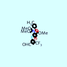 COCC(COC)N(c1cc(F)c(Oc2ccc(C=O)cc2C(F)(F)F)cc1C(=O)OC)C(=O)[C@H]1CC[C@H](C)CC1